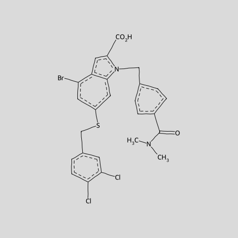 CN(C)C(=O)c1ccc(Cn2c(C(=O)O)cc3c(Br)cc(SCc4ccc(Cl)c(Cl)c4)cc32)cc1